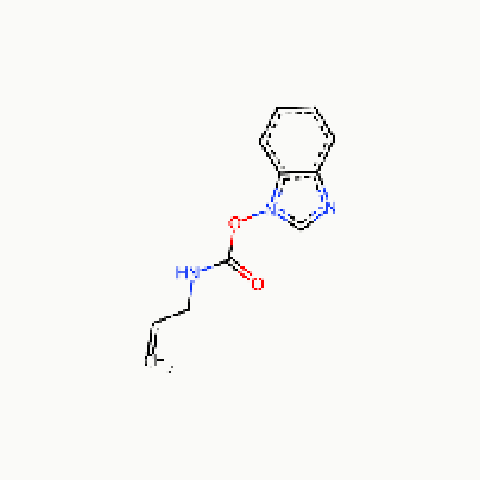 C=CCNC(=O)On1cnc2ccccc21